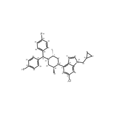 C[C@@H]1CN(c2nc(Cl)nc3c2ncn3CC2CC2)[C@@H](C)CN1C(c1ccc(F)cc1)c1ccc(F)cc1